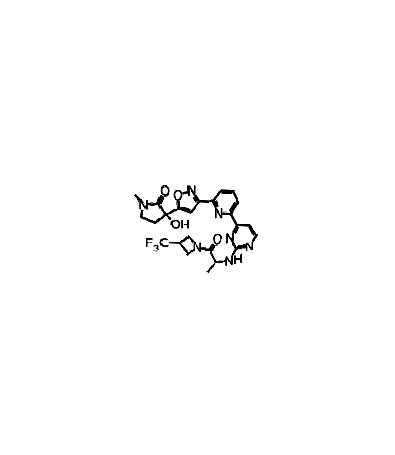 C[C@H](Nc1nccc(-c2cccc(-c3cc([C@]4(O)CCN(C)C4=O)on3)n2)n1)C(=O)N1CC(C(F)(F)F)C1